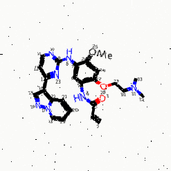 C=CC(=O)Nc1cc(Nc2nccc(-c3cnn4ccccc34)n2)c(OC)cc1OCCN(C)C